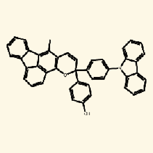 Cc1c2c(c3cccc4c3c1-c1ccccc1-4)OC(c1ccc(O)cc1)(c1ccc(-n3c4ccccc4c4ccccc43)cc1)C=C2